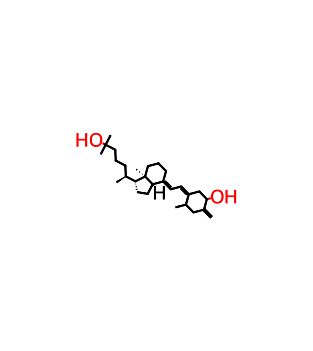 C=C1CC(C)/C(=C\C=C2/CCC[C@]3(C)[C@@H]([C@@H](C)CCCC(C)(C)O)CC[C@@H]23)C[C@H]1O